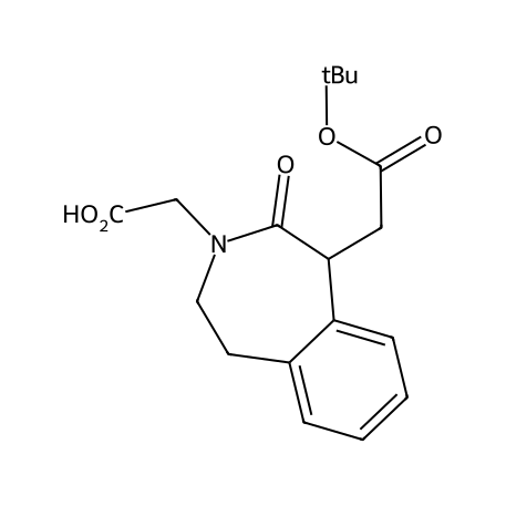 CC(C)(C)OC(=O)CC1C(=O)N(CC(=O)O)CCc2ccccc21